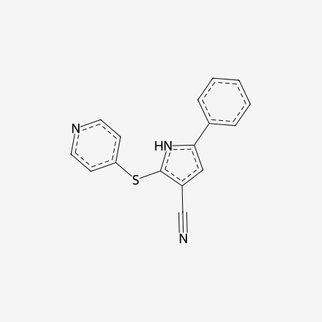 N#Cc1cc(-c2ccccc2)[nH]c1Sc1ccncc1